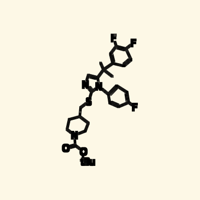 CC(C)(C)OC(=O)N1CCC(CSc2ncc(C(C)(C)c3ccc(F)c(F)c3)n2-c2ccc(F)cc2)CC1